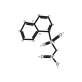 O=[N+]([O-])CS(=O)(=O)c1cccc2ccccc12